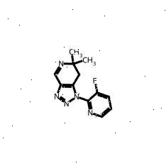 CC1(C)Cc2c(nnn2-c2ncccc2F)C=N1